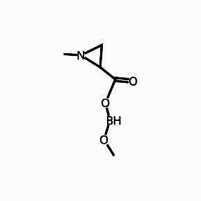 COBOC(=O)C1CN1C